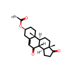 CCCC(=O)O[C@H]1CC[C@@]2(C)C(=CC(=O)[C@@H]3[C@@H]2CC[C@]2(C)C(=O)CC[C@@H]32)C1